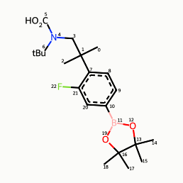 CC(C)(CN(C(=O)O)C(C)(C)C)c1ccc(B2OC(C)(C)C(C)(C)O2)cc1F